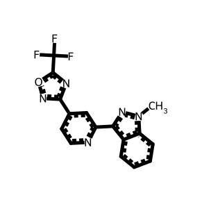 Cn1nc(-c2cc(-c3noc(C(F)(F)F)n3)ccn2)c2ccccc21